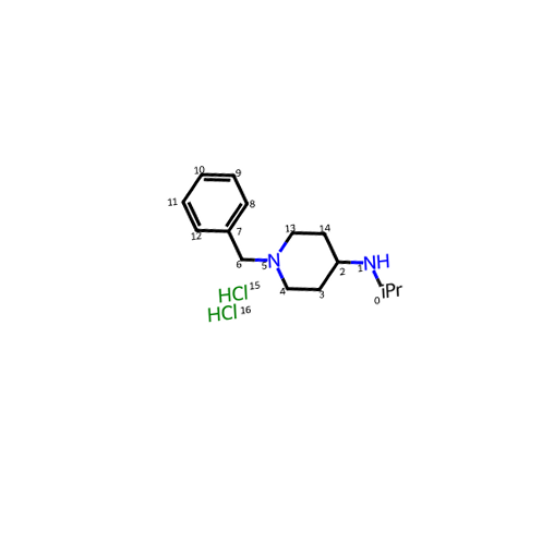 CC(C)NC1CCN(Cc2ccccc2)CC1.Cl.Cl